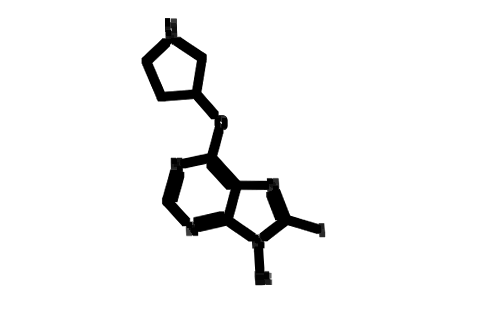 CCn1c(I)nc2c(OC3CCNC3)ncnc21